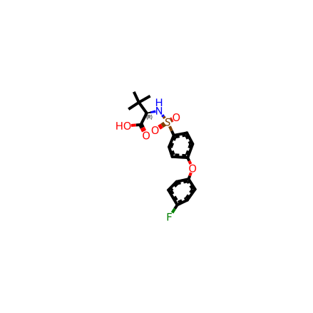 CC(C)(C)[C@@H](NS(=O)(=O)c1ccc(Oc2ccc(F)cc2)cc1)C(=O)O